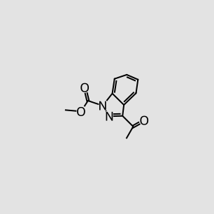 COC(=O)n1nc(C(C)=O)c2ccccc21